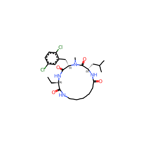 CC[C@H]1NC(=O)[C@H](Cc2cc(Cl)ccc2Cl)N(C)C(=O)[C@H](CC(C)C)NC(=O)CCCCCNC1=O